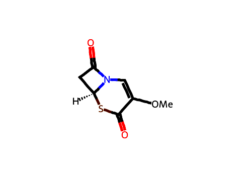 COC1=CN2C(=O)C[C@@H]2SC1=O